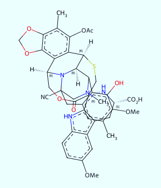 COc1ccc2[nH]c3c(c2c1)C[C@@H](C(=O)O)N[C@]31CS[C@@H]2c3c(OC(C)=O)c(C)c4c(c3[C@H](COC1=O)N1[C@@H]2C2c3c(cc(C)c(OC)c3O)CC1(C#N)CN2C)OCO4